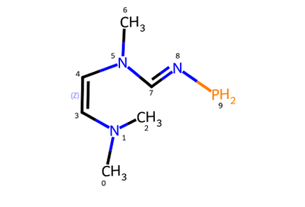 CN(C)/C=C\N(C)C=NP